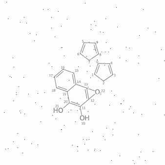 C1=CCC=C1.C1=CCC=C1.Oc1c2c(c3ccccc3c1O)O2